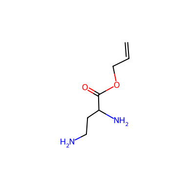 C=CCOC(=O)C(N)CCN